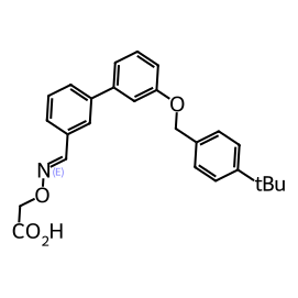 CC(C)(C)c1ccc(COc2cccc(-c3cccc(/C=N/OCC(=O)O)c3)c2)cc1